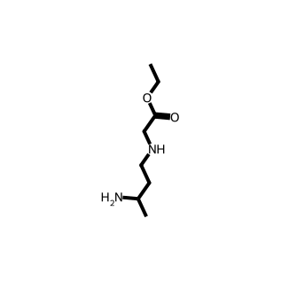 CCOC(=O)CNCCC(C)N